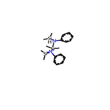 C[Si](C)=[N+](c1ccccc1)[Si](C)(C)N(c1ccccc1)[SiH](C)C